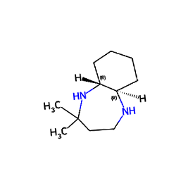 CC1(C)CCN[C@@H]2CCCC[C@H]2N1